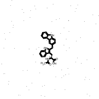 CC(=O)N[C@@H](Cc1c(Cc2ccc3[nH]c4ccccc4c3c2)[nH]c2ccccc12)C(=O)O